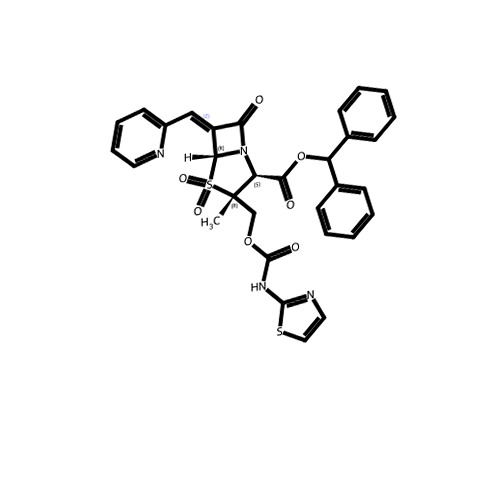 C[C@]1(COC(=O)Nc2nccs2)[C@H](C(=O)OC(c2ccccc2)c2ccccc2)N2C(=O)/C(=C/c3ccccn3)[C@H]2S1(=O)=O